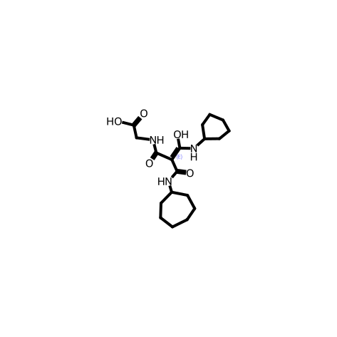 O=C(O)CNC(=O)/C(C(=O)NC1CCCCCC1)=C(\O)NC1CCCCC1